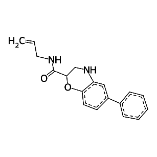 C=CCNC(=O)C1CNc2cc(-c3ccccc3)ccc2O1